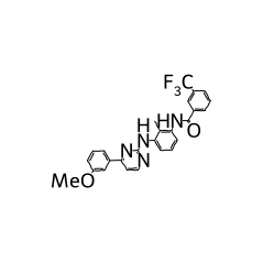 COc1cccc(-c2ccnc(Nc3cccc(NC(=O)c4cccc(C(F)(F)F)c4)c3C)n2)c1